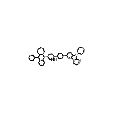 C1=CCC=CC(n2c3ccc(-c4ccc(C5C=CC(c6c7c(c(-c8ccccc8)c8ccccc68)CC=CC=C7)=CN5)cc4)cc3c3cccnc32)=C1